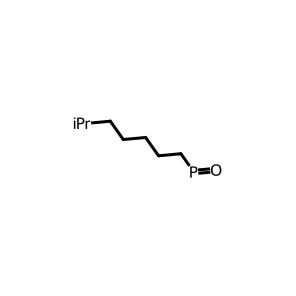 CC(C)CCCCCP=O